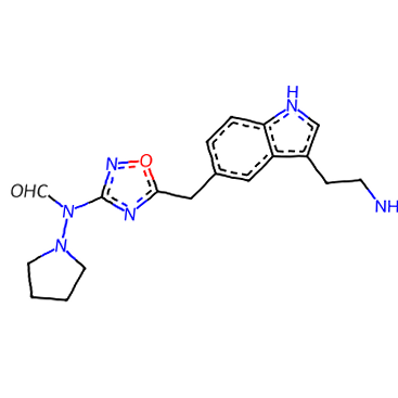 NCCc1c[nH]c2ccc(Cc3nc(N(C=O)N4CCCC4)no3)cc12